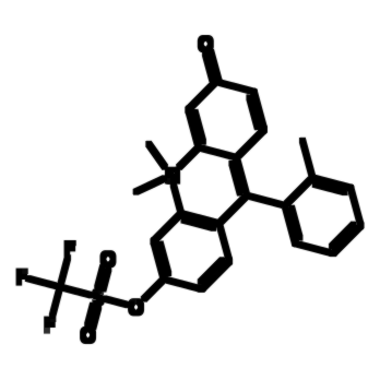 Cc1ccccc1C1=C2C=CC(=O)C=C2[Si](C)(C)c2cc(OS(=O)(=O)C(F)(F)F)ccc21